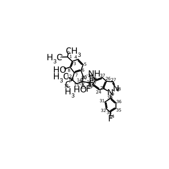 CC(C)c1ccc2c(c1O)C(C)(C)C[C@@](O)(C(F)(F)F)[C@H]2Nc1ccc2c(cnn2-c2ccc(F)cc2)c1